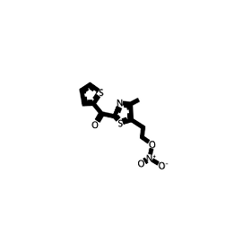 Cc1nc(C(=O)c2cccs2)sc1CCO[N+](=O)[O-]